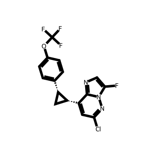 Fc1cnc2c([C@@H]3C[C@@H]3c3ccc(OC(F)(F)F)cc3)cc(Cl)nn12